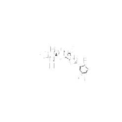 Cn1c(CC(=O)NC2CCCC2)c2n(c1=S)C[C@@H](c1cc(Cl)ccc1F)C2